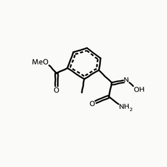 COC(=O)c1cccc(C(=NO)C(N)=O)c1C